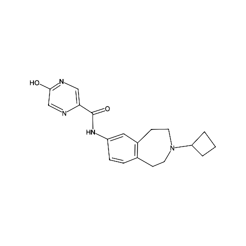 O=C(Nc1ccc2c(c1)CCN(C1CCC1)CC2)c1cnc(O)cn1